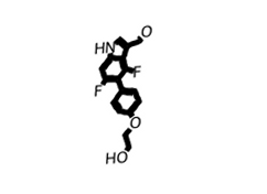 O=Cc1c[nH]c2cc(F)c(-c3ccc(OCCO)cc3)c(F)c12